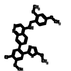 COc1ccc(CNc2cnnc3cc(-c4cc(Cl)c(OC)cc4-c4ncc(OC)s4)ccc23)c(OC)c1